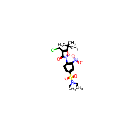 CCN(CC)S(=O)(=O)c1ccc(-n2oc(C(C)(C)C)c(CCl)c2=O)c([N+](=O)[O-])c1